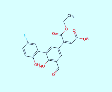 CCOC(=O)C(=CC(=O)O)c1cc(C=O)c(O)c(-c2cc(F)ccc2O)c1